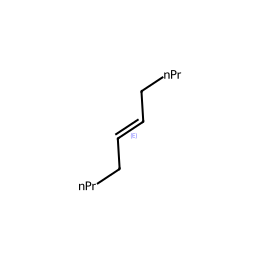 [CH2]CCC/C=C/CCCC